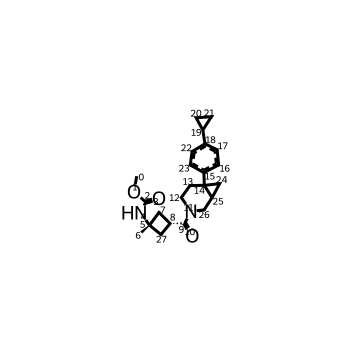 COC(=O)N[C@]1(C)C[C@H](C(=O)N2CCC3(c4ccc(C5CC5)cc4)CC3C2)C1